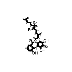 CC(C)=CCCC(C)(Br)C(Br)CCC(C)=CCN1C(=O)c2cccc(O)c2Nc2c1cc(O)c(Br)c2O